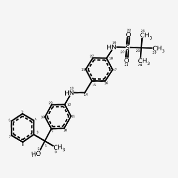 CC(O)(c1ccccc1)c1ccc(NCc2ccc(NS(=O)(=O)C(C)(C)C)cc2)cc1